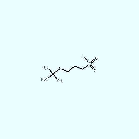 CC(C)(C)SCCCS(=O)(=O)Cl